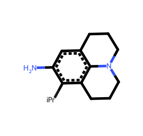 CC(C)c1c(N)cc2c3c1CCCN3CCC2